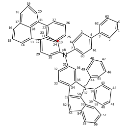 c1ccc(-c2ccc(N(c3ccc(-c4cccc5cccc(-c6ccccc6)c45)cc3)c3ccc4c(c3)S(c3ccccc3)(c3ccccc3)c3c-4ccc4ccccc34)cc2)cc1